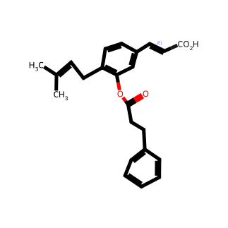 CC(C)=CCc1ccc(/C=C/C(=O)O)cc1OC(=O)CCc1ccccc1